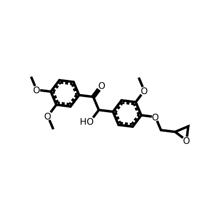 COc1ccc(C(=O)C(O)c2ccc(OCC3CO3)c(OC)c2)cc1OC